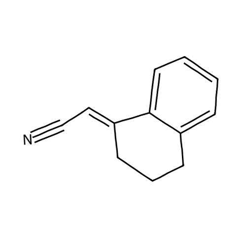 N#CC=C1CCCc2ccccc21